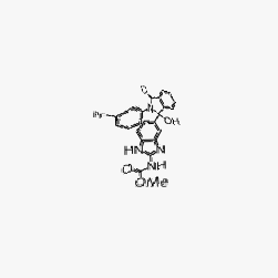 COC(=O)Nc1nc2cc(C3(O)c4ccccc4C(=O)N3c3cccc(C(C)C)c3)ccc2[nH]1